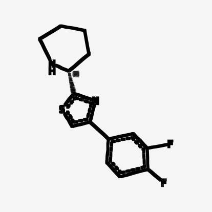 Fc1ccc(-c2csc([C@H]3CCCCN3)n2)cc1F